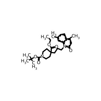 CCOC(=O)C1(CCCn2c(=O)cc(C)c3ccc(C)cc32)CCN(C(=O)OC(C)(C)C)CC1